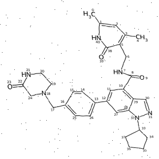 Cc1cc(C)c(CNC(=O)c2cc(-c3ccc(CN4CCNC(=O)C4)cc3)cc3c2cnn3C2CCCC2)c(=O)[nH]1